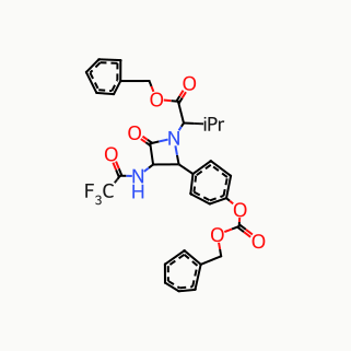 CC(C)C(C(=O)OCc1ccccc1)N1C(=O)C(NC(=O)C(F)(F)F)C1c1ccc(OC(=O)OCc2ccccc2)cc1